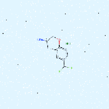 Cl.N[C@H]1COc2ccc(C(F)F)cc2C1